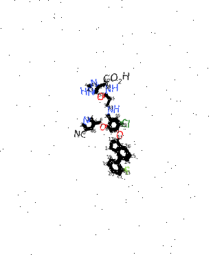 N#Cc1cncc(COc2cc(O[C@H]3CCc4c(-c5ccccc5F)cccc43)c(Cl)cc2CNCCC(=O)N[C@@H](C(=O)O)c2c[nH]cn2)c1